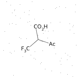 CC(=O)C(C(=O)O)C(F)(F)F